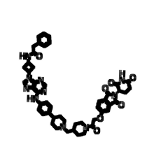 O=C1CC[C@H](N2C(=O)c3ccc(OCC(=O)N4CCC(CN5CCC(c6ccc(Nc7ncnc8c7ncn8C7CC(NC(=O)Cc8ccccc8)C7)cc6)CC5)CC4)cc3C2=O)C(=O)N1